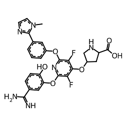 Cn1ccnc1-c1cccc(Oc2nc(Oc3cc(C(=N)N)ccc3O)c(F)c(OC3CNC(C(=O)O)C3)c2F)c1